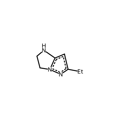 CCc1cc2n(n1)CCN2